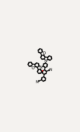 N#Cc1cccc(-c2ccc(-c3ccc(-n4c5ccccc5c5c6oc7ccccc7c6ccc54)cc3-n3c4ccccc4c4c5oc6ccccc6c5ccc43)c(C#N)c2)c1